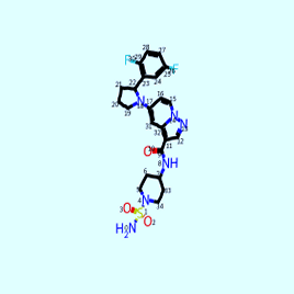 NS(=O)(=O)N1CCC(NC(=O)c2cnn3ccc(N4CCCC4c4cc(F)ccc4F)cc23)CC1